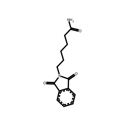 NC(=O)CCCCCN1C(=O)c2ccccc2C1=O